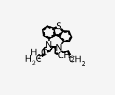 C=CCN(CC=C)c1cccc2sc3cccc(N(CC=C)CC=C)c3c12